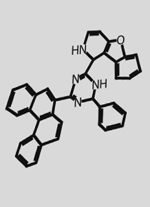 C1=Cc2oc3ccccc3c2C(C2=NC(c3cc4ccccc4c4c3ccc3ccccc34)=NC(c3ccccc3)N2)N1